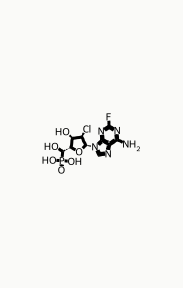 Nc1nc(F)nc2c1ncn2[C@@H]1O[C@H](C(O)P(=O)(O)O)[C@@H](O)[C@H]1Cl